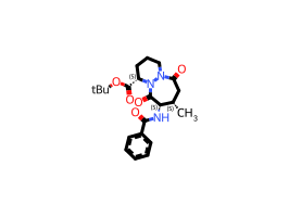 C[C@H]1CC(=O)N2CCC[C@@H](C(=O)OC(C)(C)C)N2C(=O)[C@H]1NC(=O)c1ccccc1